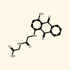 O=C(O)CNC(=O)CNc1ccc(O)c2c1C(=O)c1ccccc1C2=O